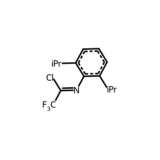 CC(C)c1cccc(C(C)C)c1N=C(Cl)C(F)(F)F